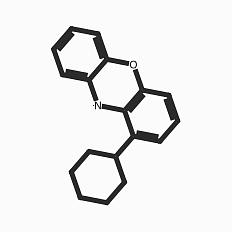 c1ccc2c(c1)[N]c1c(cccc1C1CCCCC1)O2